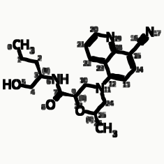 CCC[C@H](CO)NC(=O)[C@H]1CN(c2ccc(C#N)c3ncccc23)C[C@@H](C)O1